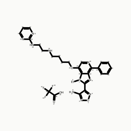 CCn1c(-c2nonc2N)nc2c(-c3ccccc3)ncc(OCCCCNCCNc3ncccn3)c21.O=C(O)C(F)(F)F